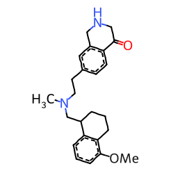 COc1cccc2c1CCCC2CN(C)CCc1ccc2c(c1)CNCC2=O